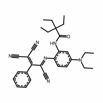 CCN(CC)c1ccc(N=C(C#N)C(=C(C#N)C#N)c2ccccc2)c(NC(=O)C(CC)(CC)CC)c1